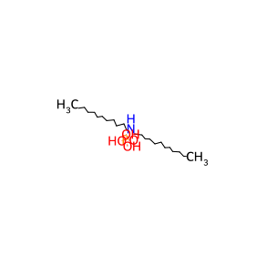 CCCCCCCCCCCCNCCCCCCCCCCCC.O=P(O)(O)O